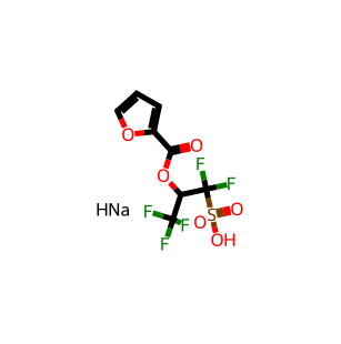 O=C(OC(C(F)(F)F)C(F)(F)S(=O)(=O)O)c1ccco1.[NaH]